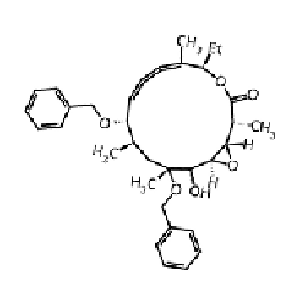 CC[C@H]1OC(=O)[C@H](C)[C@@H]2O[C@H]2[C@@H](O)[C@](C)(OCc2ccccc2)C[C@@H](C)[C@H](OCc2ccccc2)C=C=C=C1C